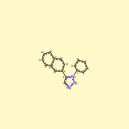 c1ccc(-n2nncc2-c2ccc3ccccc3c2)cc1